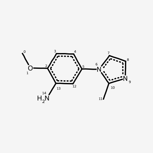 COc1ccc(-n2ccnc2C)cc1N